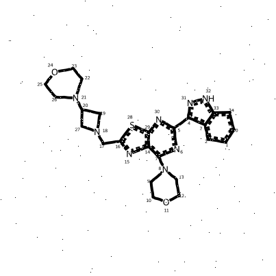 c1ccc2c(-c3nc(N4CCOCC4)c4nc(CN5CC(N6CCOCC6)C5)sc4n3)n[nH]c2c1